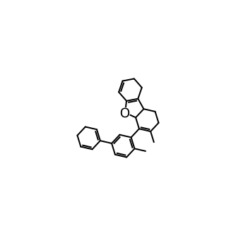 CC1=C(c2cc(C3=CCCC=C3)ccc2C)C2OC3=C(CCC=C3)C2CC1